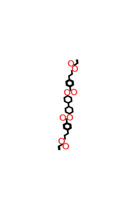 C=CC(=O)OCCCc1ccc(C(=O)OC2CCC(C3CCC(OC(=O)c4ccc(CCCOC(=O)C=C)cc4)CC3)CC2)cc1